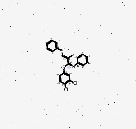 CC(=C\Sc1ccccc1)/C(=N\c1ccccc1)Sc1ccc(Cl)c(Cl)c1